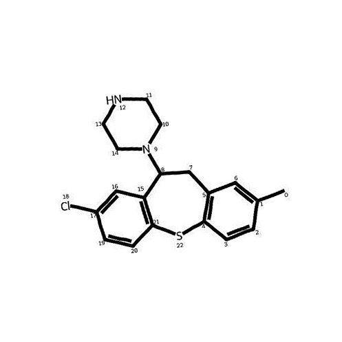 Cc1ccc2c(c1)CC(N1CCNCC1)c1cc(Cl)ccc1S2